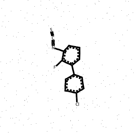 Fc1c(N=C=S)cccc1-c1ccc(Cl)cc1